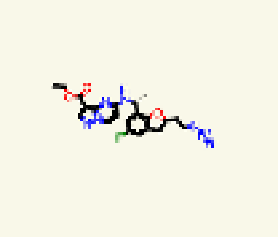 CCOC(=O)c1cnn2ccc(N[C@H](C)c3cc(F)cc4c3OC(CCN=[N+]=[N-])C4)nc12